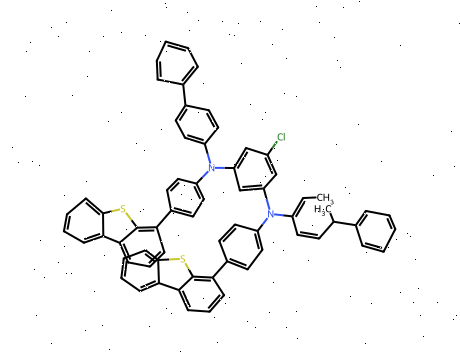 C/C=C(\C=C/C(C)c1ccccc1)N(c1ccc(-c2cccc3c2sc2ccccc23)cc1)c1cc(Cl)cc(N(c2ccc(-c3ccccc3)cc2)c2ccc(-c3cccc4c3sc3ccccc34)cc2)c1